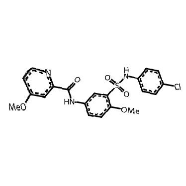 COc1ccnc(C(=O)Nc2ccc(OC)c(S(=O)(=O)Nc3ccc(Cl)cc3)c2)c1